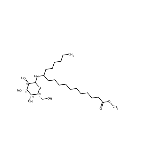 CCCCCCC(CCCCCCCCCCC(=O)OC)NC1O[C@H](CO)[C@H](O)[C@H](O)[C@H]1O